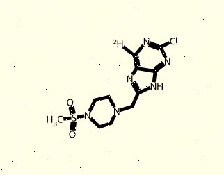 [2H]c1nc(Cl)nc2[nH]c(CN3CCN(S(C)(=O)=O)CC3)nc12